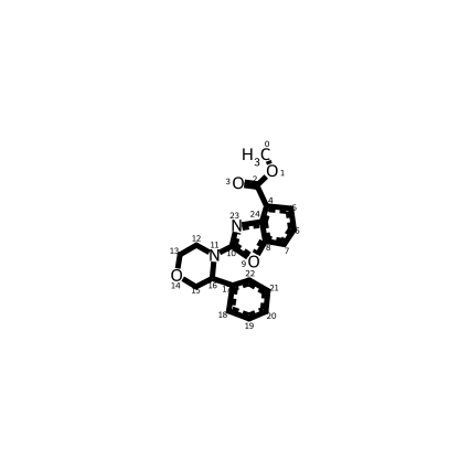 COC(=O)c1cccc2oc(N3CCOCC3c3ccccc3)nc12